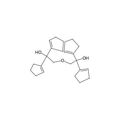 OC(COCC(O)(C1=CCCC1)C1=CCCC1)(C1=CCCC1)C1=CCCC1